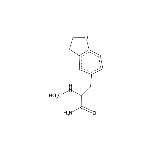 NC(=O)C(Cc1ccc2c(c1)CCO2)NC(=O)O